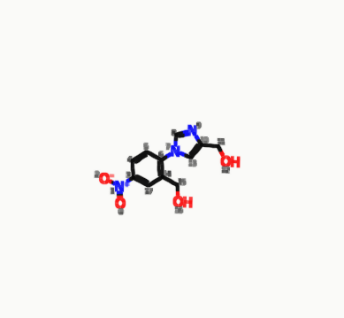 O=[N+]([O-])c1ccc(-n2cnc(CO)c2)c(CO)c1